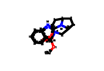 CC(C)(C)OC(=O)N1CCC2CCC(C1)N2c1nc2ccccc2o1